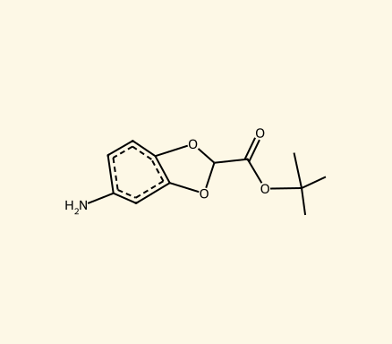 CC(C)(C)OC(=O)C1Oc2ccc(N)cc2O1